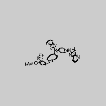 CCOc1cc(CN2CCC(N(c3nc4cccnc4s3)C3CCN(Nc4nc5cccnc5s4)CC3)CC2)ccc1OC